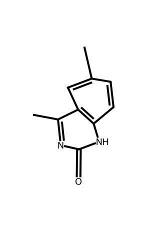 Cc1ccc2[nH]c(=O)nc(C)c2c1